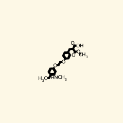 CCc1ccc(OCCOc2ccc(CC(C(=O)O)C(=O)OC)cc2)cc1NC